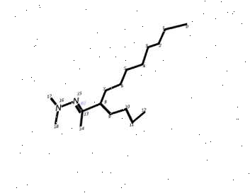 CCCCCCCCC(CCCC)/C(C)=N/N(C)C